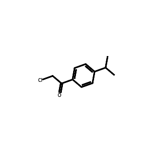 CC(C)c1ccc(C(=O)CCl)cc1